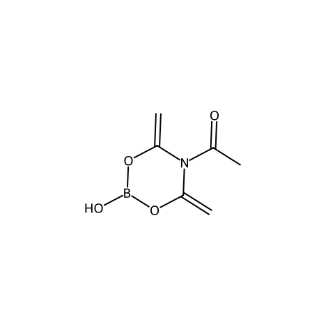 C=C1OB(O)OC(=C)N1C(C)=O